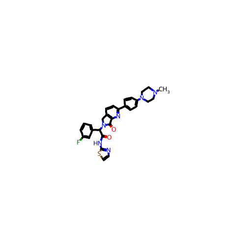 CN1CCN(c2ccc(-c3ccc4c(n3)C(=O)N(C(C(=O)Nc3nccs3)c3cccc(F)c3)C4)cc2)CC1